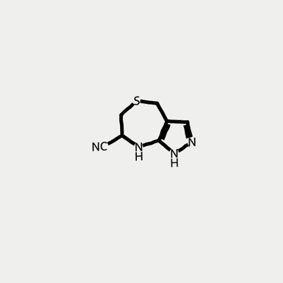 N#CC1CSCc2cn[nH]c2N1